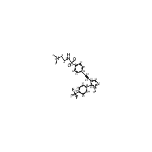 CN(C)CCNS(=O)(=O)c1ccc(C#Cc2cnn(C)c2-c2ccc(C(F)(F)F)cc2)cc1